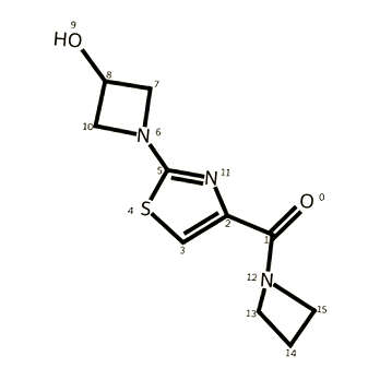 O=C(c1csc(N2CC(O)C2)n1)N1CCC1